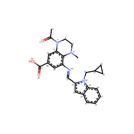 CC(=O)N1CCN(C)c2c(/N=C/c3cc4ccccc4n3CC3CC3)cc(C(=O)O)cc21